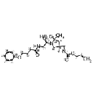 C=CCOC(=O)N1CC2(C1)CN(C(=O)CNC(=O)CCCOc1ccccc1)C(C)(C(=O)O)C2